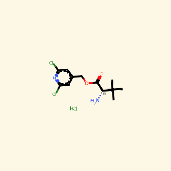 CC(C)(C)[C@H](N)C(=O)OCc1cc(Cl)nc(Cl)c1.Cl